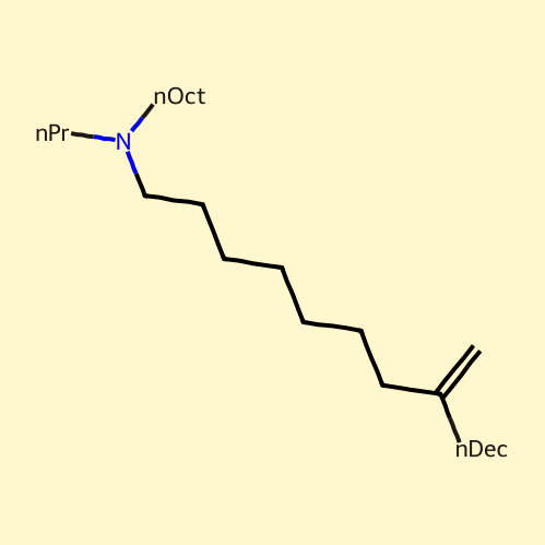 C=C(CCCCCCCCCC)CCCCCCCN(CCC)CCCCCCCC